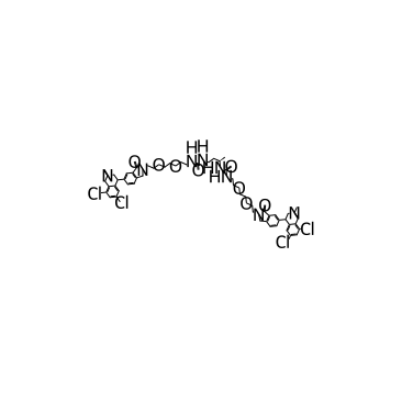 C[C@H](CCNC(=O)NCCOCCOCCN1Cc2ccc(C3CN(C)Cc4c(Cl)cc(Cl)cc43)cc2C1=O)NC(=O)NCCOCCOCCN1Cc2ccc(C3CN(C)Cc4c(Cl)cc(Cl)cc43)cc2C1=O